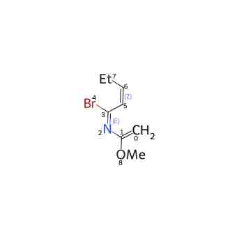 C=C(/N=C(Br)\C=C/CC)OC